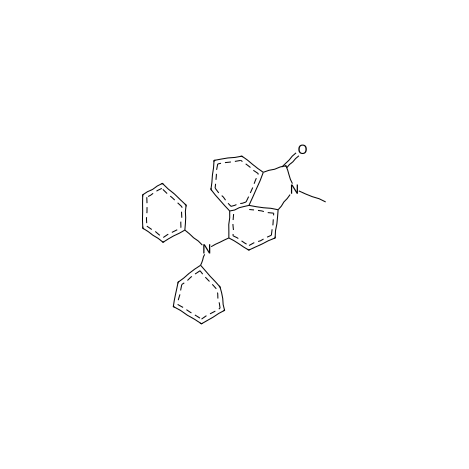 CN1C(=O)c2cccc3c(N(c4ccccc4)c4ccccc4)ccc1c23